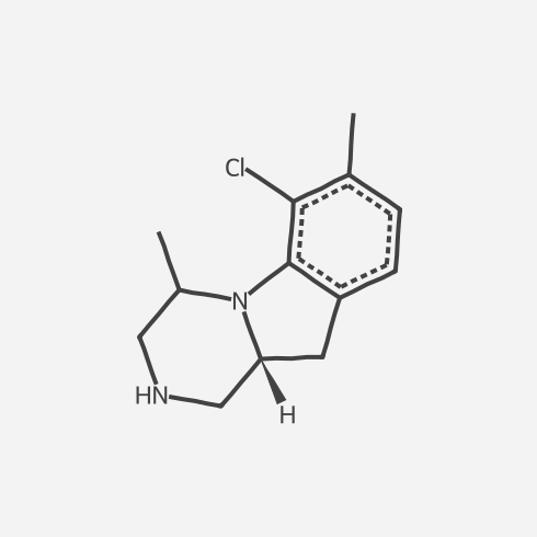 Cc1ccc2c(c1Cl)N1C(C)CNC[C@H]1C2